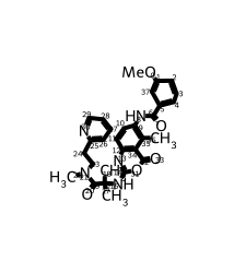 COc1cccc(C(=O)Nc2ccc3nc(NC(C)(C)C(=O)N(C)CCc4ccccn4)oc(=O)c3c2C)c1